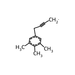 [CH2]C#CCc1cc(C)c(C)c(C)c1